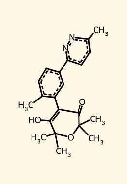 Cc1ccc(-c2ccc(C)c(C3=C(O)C(C)(C)OC(C)(C)C3=O)c2)nn1